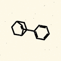 C1=C(c2ccccc2)C2CCC1CC2